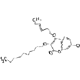 CC/C=C/CCOc1c(OCCCCCCCCCC)c(=O)oc2cc(O)ccc12